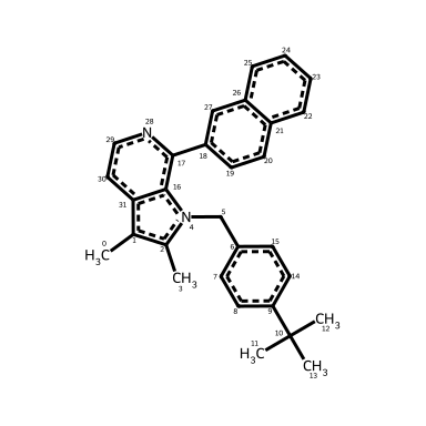 Cc1c(C)n(Cc2ccc(C(C)(C)C)cc2)c2c(-c3ccc4ccccc4c3)nccc12